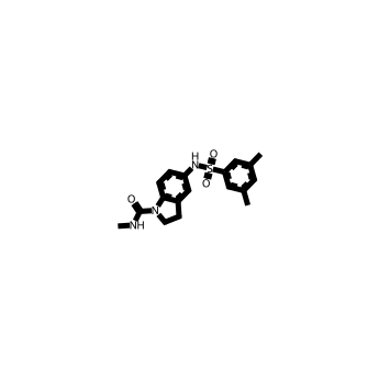 CNC(=O)N1CCc2cc(NS(=O)(=O)c3cc(C)cc(C)c3)ccc21